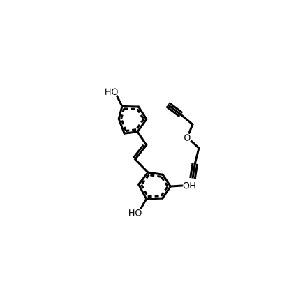 C#CCOCC#C.Oc1ccc(C=Cc2cc(O)cc(O)c2)cc1